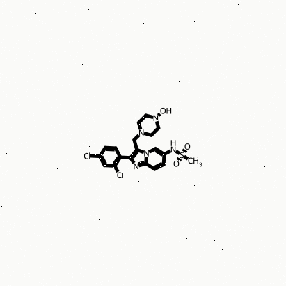 CS(=O)(=O)Nc1ccc2nc(-c3ccc(Cl)cc3Cl)c(CN3CCN(O)CC3)n2c1